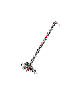 C=CC1=C(C)/C(=C/c2[nH]c(Cc3[nH]c(/C=C4\NC(=O)C(C=C)=C4C)c(C)c3CCC(=O)NCCOCCOCCOCCOCCOCCOCCOCCOCCOCCOCCOCCOCCOCCOCCOCCOCCOCCOCCOCCOCCOCCOCCOCCOC)c(CCC(=O)O)c2C)NC1=O